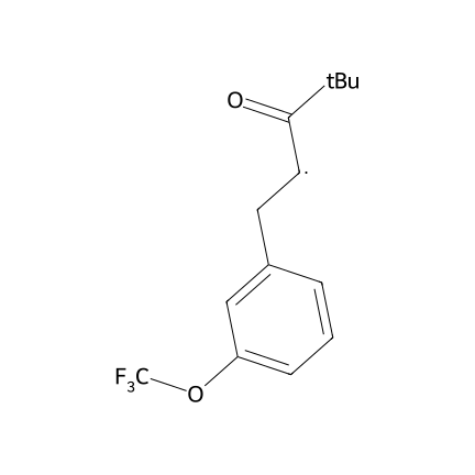 CC(C)(C)C(=O)[CH]Cc1cccc(OC(F)(F)F)c1